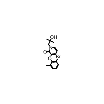 Cc1cccc(C)c1Oc1c(Br)ccn(CC(C)(C)O)c1=O